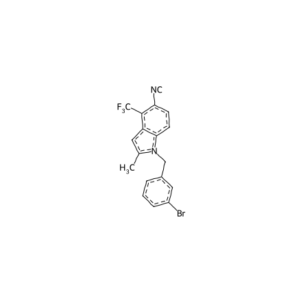 [C-]#[N+]c1ccc2c(cc(C)n2Cc2cccc(Br)c2)c1C(F)(F)F